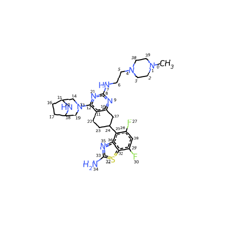 CN1CCN(CCNc2nc3c(c(N4CC5CCC(C4)N5)n2)CCC(c2c(F)cc(F)c4sc(N)nc24)C3)CC1